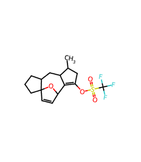 CC1CC(OS(=O)(=O)C(F)(F)F)=C2C3C=CC4(CCCC4CC21)O3